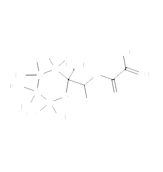 C=C(C)C(=O)OC(CC)C1(C)O[Si](C)(C)[Si](C)(C)[Si](C)(C)[Si]1(C)C